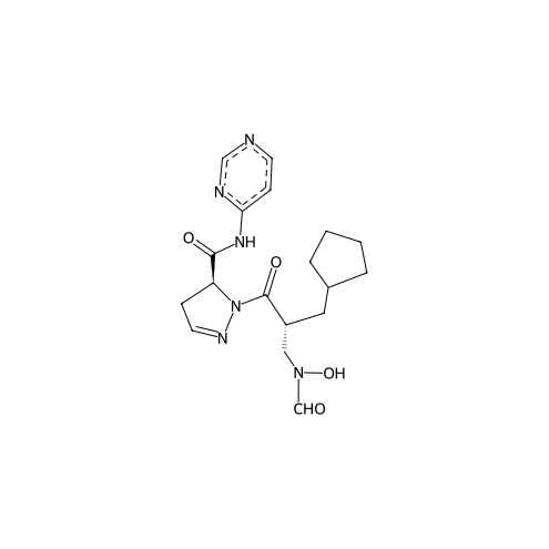 O=CN(O)C[C@@H](CC1CCCC1)C(=O)N1N=CC[C@H]1C(=O)Nc1ccncn1